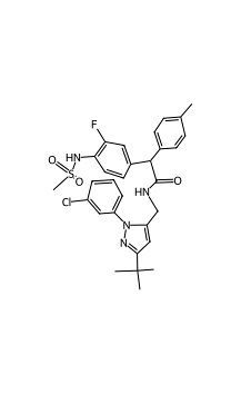 Cc1ccc(C(C(=O)NCc2cc(C(C)(C)C)nn2-c2cccc(Cl)c2)c2ccc(NS(C)(=O)=O)c(F)c2)cc1